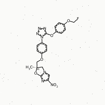 C[C@]1(COc2ccc(-n3nnnc3Oc3ccc(OCF)cc3)cc2)Cn2cc([N+](=O)[O-])nc2O1